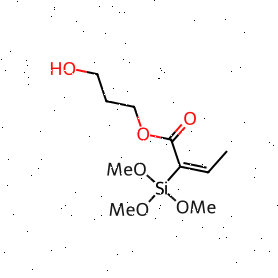 CC=C(C(=O)OCCCO)[Si](OC)(OC)OC